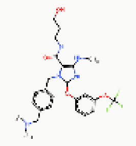 CNC1=C(C(=O)NCCCO)N(Cc2ccc(CN(C)C)cc2)C(Oc2cccc(OC(F)(F)F)c2)N1